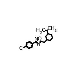 CC(C)C1CCCC(Cc2nc(-c3ccc(Cl)cc3)no2)C1